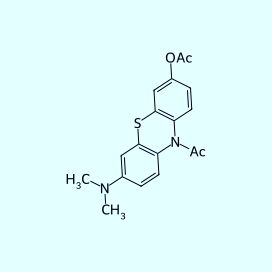 CC(=O)Oc1ccc2c(c1)Sc1cc(N(C)C)ccc1N2C(C)=O